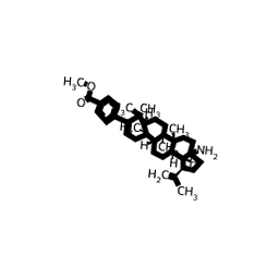 C=C(C)[C@@H]1CCC2(N)CC[C@]3(C)[C@H](CC[C@@H]4[C@@]5(C)CC=C(c6ccc(C(=O)OC)cc6)C(C)(C)[C@@H]5CC[C@]43C)[C@@H]12